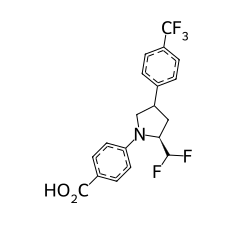 O=C(O)c1ccc(N2CC(c3ccc(C(F)(F)F)cc3)C[C@H]2C(F)F)cc1